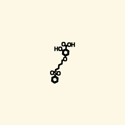 O=C(O)c1ccc(OCCCCCS(=O)(=O)c2ccccc2)cc1O